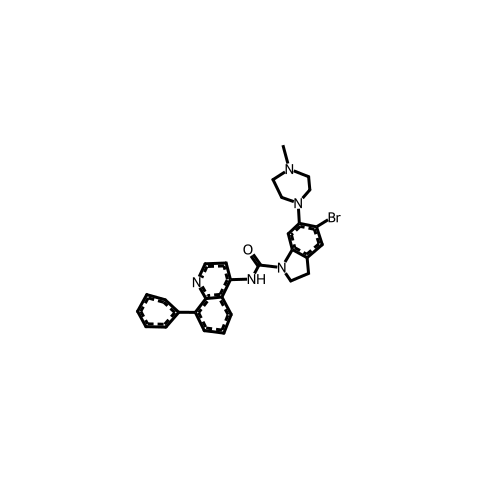 CN1CCN(c2cc3c(cc2Br)CCN3C(=O)Nc2ccnc3c(-c4ccccc4)cccc23)CC1